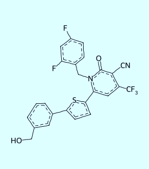 N#Cc1c(C(F)(F)F)cc(-c2ccc(-c3cccc(CO)c3)s2)n(Cc2ccc(F)cc2F)c1=O